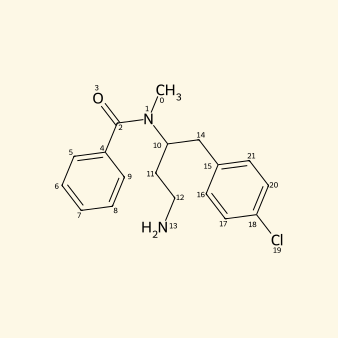 CN(C(=O)c1ccccc1)C(CCN)Cc1ccc(Cl)cc1